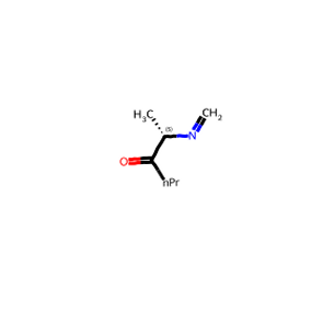 C=N[C@@H](C)C(=O)CCC